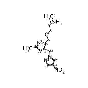 C[SiH2]CCOCn1nc(C)cc1Cn1cc([N+](=O)[O-])cn1